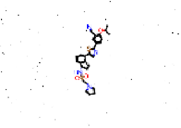 CC(C)Oc1ccc(-c2ncc(-c3cccc4c3CC[C@@H]4NS(=O)(=O)CCN3CCCC3)s2)cc1C#N